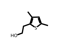 Cc1cc(C)c(CCO)s1